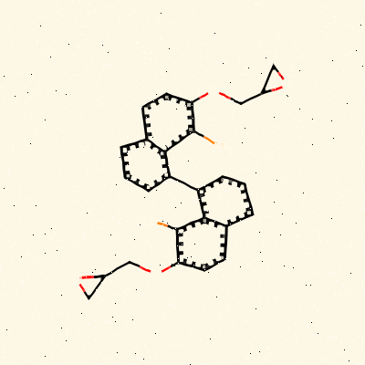 Pc1c(OCC2CO2)ccc2cccc(-c3cccc4ccc(OCC5CO5)c(P)c34)c12